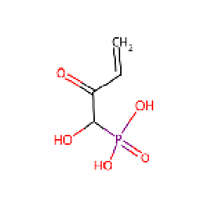 C=CC(=O)C(O)P(=O)(O)O